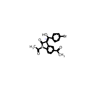 CC(=O)c1ccc2c(c1)/C(=C(/O)c1ccc(Br)cc1)C(=O)N2C(C)=O